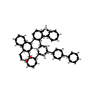 C1=Cc2c(cc(-c3ccc4oc5ccccc5c4c3-c3nc(-c4ccccc4)nc(-c4ccc(-c5ccccc5)cc4)n3)c3ccccc23)CC1